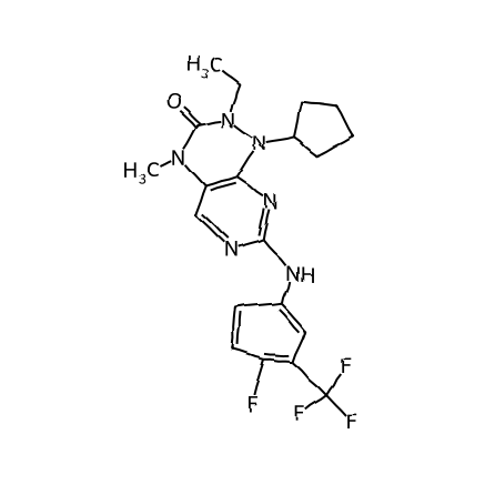 CCN1C(=O)N(C)c2cnc(Nc3ccc(F)c(C(F)(F)F)c3)nc2N1C1CCCC1